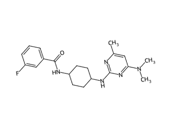 Cc1cc(N(C)C)nc(NC2CCC(NC(=O)c3cccc(F)c3)CC2)n1